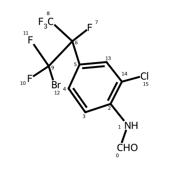 O=CNc1ccc(C(F)(C(F)(F)F)C(F)(F)Br)cc1Cl